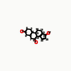 O=C1CCC2C(C1)CC(=O)C1C3=C(CCC12)C(=O)C=C3